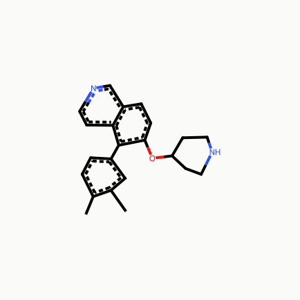 Cc1ccc(-c2c(OC3CCNCC3)ccc3cnccc23)cc1C